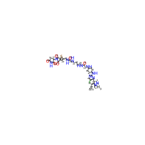 Cn1ncc(-c2nc(N[C@H]3CC[C@H](NCC(=O)NCCCCNCC(=O)NCc4cc5c(s4)C(=O)N(C4CCC(=O)NC4=O)C5=O)CC3)ncc2F)c1CC1CC1